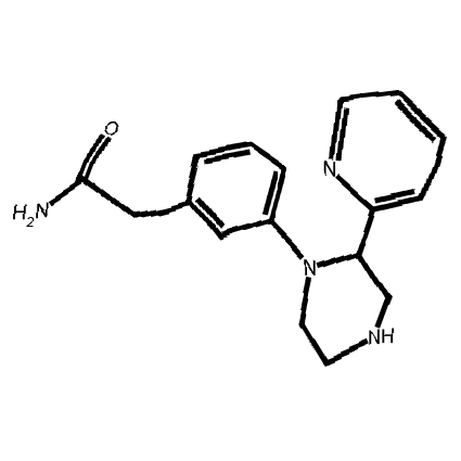 NC(=O)Cc1cccc(N2CCNCC2c2ccccn2)c1